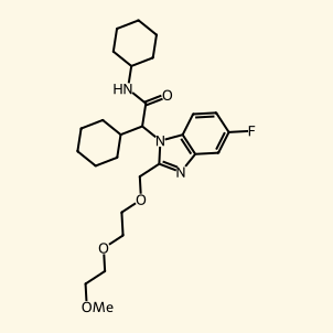 COCCOCCOCc1nc2cc(F)ccc2n1C(C(=O)NC1CCCCC1)C1CCCCC1